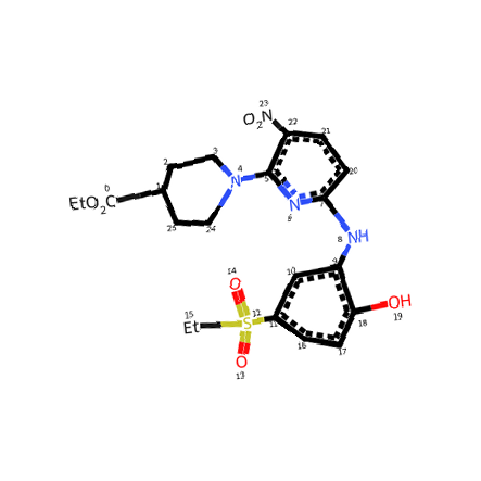 CCOC(=O)C1CCN(c2nc(Nc3cc(S(=O)(=O)CC)ccc3O)ccc2[N+](=O)[O-])CC1